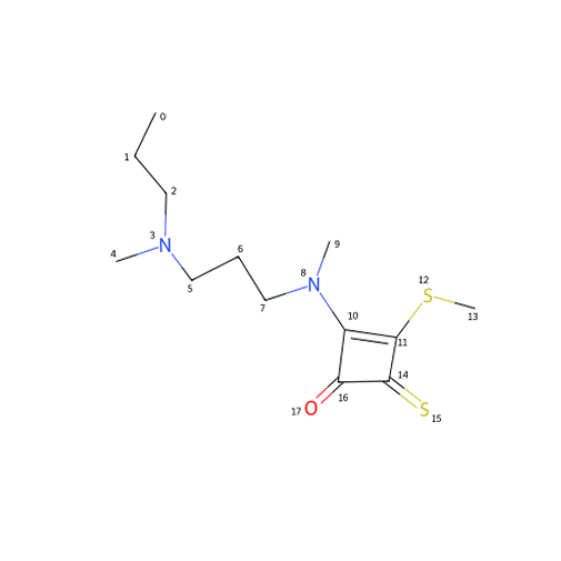 CCCN(C)CCCN(C)c1c(SC)c(=S)c1=O